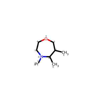 CC1COCCN(C(C)C)C1C